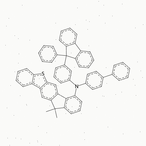 CC1(C)c2cc3c(cc2-c2c(N(c4ccc(-c5ccccc5)cc4)c4cccc(C5(c6ccccc6)c6ccccc6-c6ccccc65)c4)cccc21)sc1ccccc13